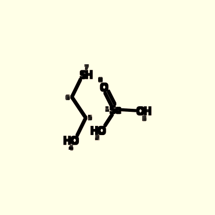 O=[Se](O)O.OCCS